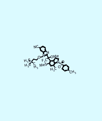 COC(c1c(SC)cc(C)c2c1ccn2S(=O)(=O)c1ccc(C)cc1)(c1nc2ccc(C#N)cc2n1COCC[Si](C)(C)C)C(F)(F)F